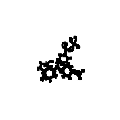 C[C@@H]1CCc2ncnc(N3CC4(CCN(C(=O)OC(C)(C)C)CC4)c4cc(C5CC5)ccc43)c21